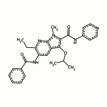 CCc1nc2c(cc1NC(=O)c1ccccc1)c(OC(C)C)c(C(=O)Nc1ccncc1)n2C